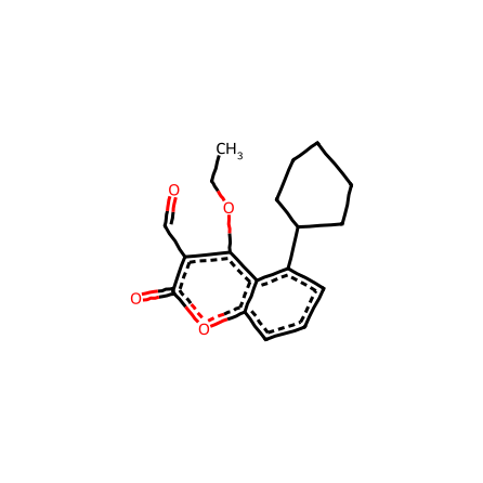 CCOc1c(C=O)c(=O)oc2cccc(C3CCCCC3)c12